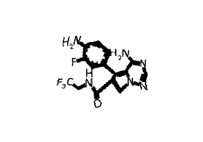 NC1=NC=NN2CC(C(=O)NCC(F)(F)F)C(c3ccc(N)c(F)c3)=C12